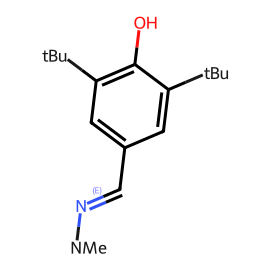 CN/N=C/c1cc(C(C)(C)C)c(O)c(C(C)(C)C)c1